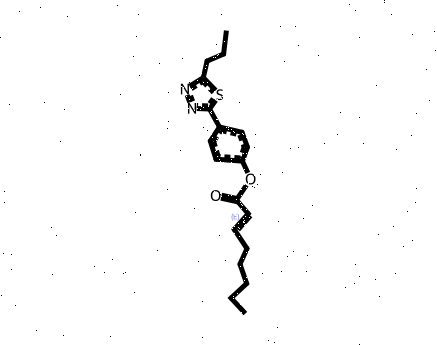 CCCCC/C=C/C(=O)Oc1ccc(-c2nnc(CCC)s2)cc1